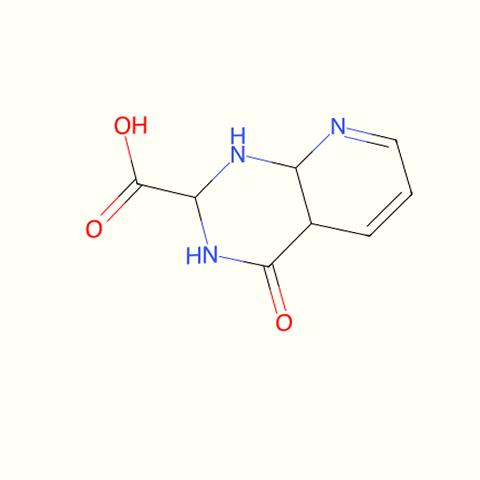 O=C(O)C1NC(=O)C2C=CC=NC2N1